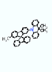 Cc1ccc2c(c1)C1(c3ccccc3-c3ccccc31)c1cc(N3c4ccccc4C(C)(C)c4ccccc43)ccc1-2